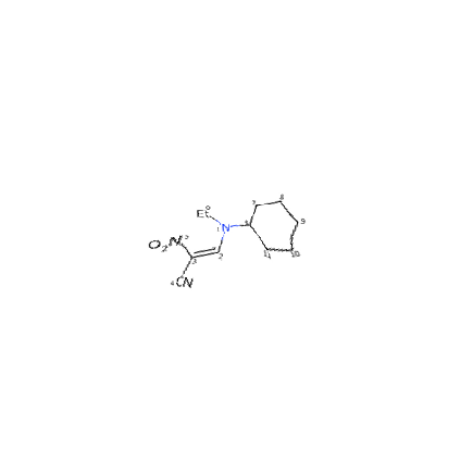 CCN(C=C(C#N)[N+](=O)[O-])C1CCCCC1